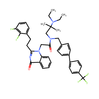 CCN(CC)C(C)(C)CN(Cc1ccc(-c2ccc(C(F)(F)F)cc2)cc1)C(=O)Cn1c(CCc2cccc(F)c2F)nc(=O)c2ccccc21